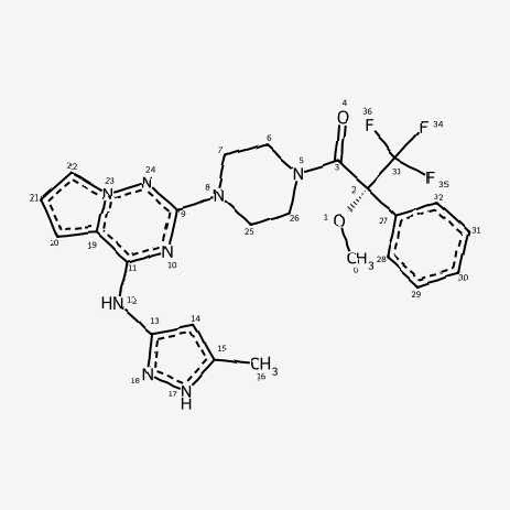 CO[C@@](C(=O)N1CCN(c2nc(Nc3cc(C)[nH]n3)c3cccn3n2)CC1)(c1ccccc1)C(F)(F)F